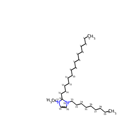 CCCCCCCCCCCCCCCCC1N(C)C=CN1CCCCCCCCC